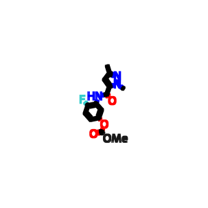 COC(=O)Oc1ccc(F)c(NC(=O)c2cc(C)nn2C)c1